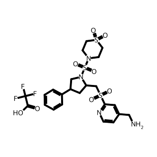 NCc1ccnc(S(=O)(=O)CC2CC(c3ccccc3)CN2S(=O)(=O)N2CCS(=O)(=O)CC2)c1.O=C(O)C(F)(F)F